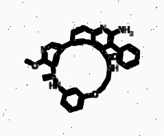 C=S1Nc2cccc(c2)OCCNC(=O)c2c(-c3ccccc3)c(N)nc3ccc(cc23)-c2cnc(OC)c1c2